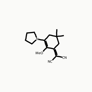 COC1=C(N2CCCC2)CC(C)(C)CC1=C(C#N)C#N